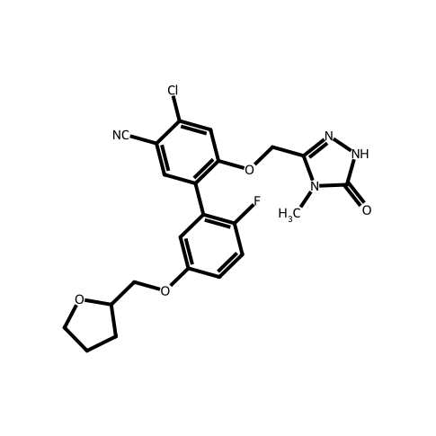 Cn1c(COc2cc(Cl)c(C#N)cc2-c2cc(OCC3CCCO3)ccc2F)n[nH]c1=O